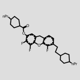 CCCC1CCC(CCc2ccc3c(c2F)Oc2c(cc(OC(=O)C4CCC(CCC)CC4)c(F)c2F)C3)CC1